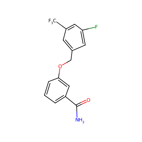 NC(=O)c1cccc(OCc2cc(F)cc(C(F)(F)F)c2)c1